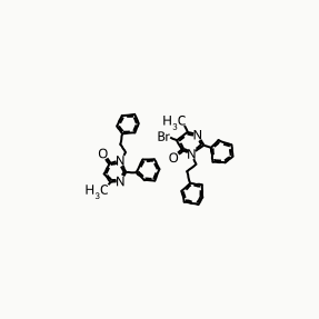 Cc1cc(=O)n(CCc2ccccc2)c(-c2ccccc2)n1.Cc1nc(-c2ccccc2)n(CCc2ccccc2)c(=O)c1Br